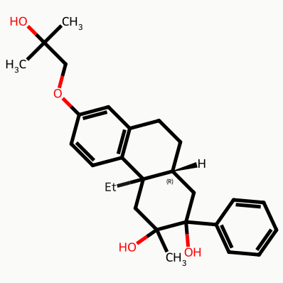 CCC12CC(C)(O)C(O)(c3ccccc3)C[C@H]1CCc1cc(OCC(C)(C)O)ccc12